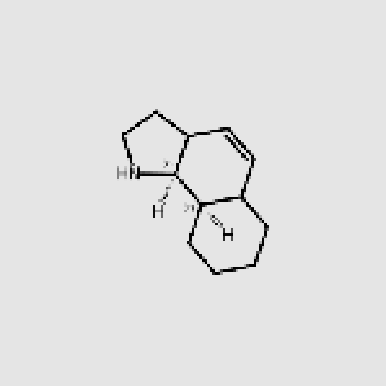 C1=CC2CCN[C@@H]2[C@@H]2CCCCC12